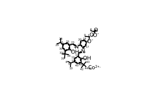 CC(=O)[O-].CC(=O)[O-].CC(C)c1cc(C=Nc2ccccc2N=Cc2cc(C(C)C)cc(C(C)(C)C)c2O)c(O)c(C(C)(C)C)c1.[Co+2]